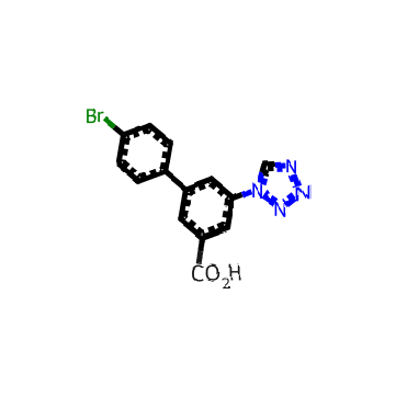 O=C(O)c1cc(-c2ccc(Br)cc2)cc(-n2cnnn2)c1